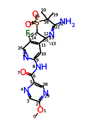 COc1cnc(C(=O)Nc2cc([C@@]3(C)CS(=O)(=O)C(C)(C)C(N)=N3)c(F)cn2)cn1